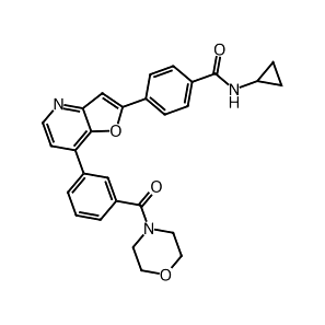 O=C(NC1CC1)c1ccc(-c2cc3nccc(-c4cccc(C(=O)N5CCOCC5)c4)c3o2)cc1